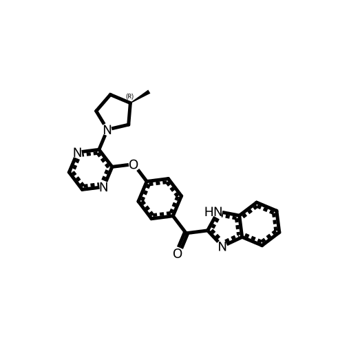 C[C@@H]1CCN(c2nccnc2Oc2ccc(C(=O)c3nc4ccccc4[nH]3)cc2)C1